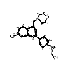 CCNc1ccc(-c2cc(CN3CCOCC3)c3ccc(Cl)cc3n2)cc1